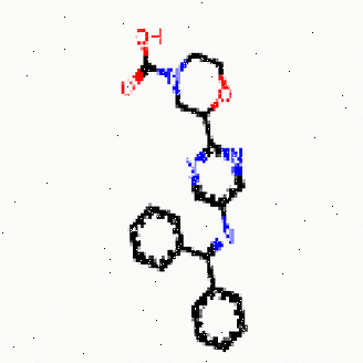 O=C(O)N1CCOC(c2ncc(N=C(c3ccccc3)c3ccccc3)cn2)C1